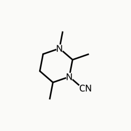 CC1CCN(C)C(C)N1C#N